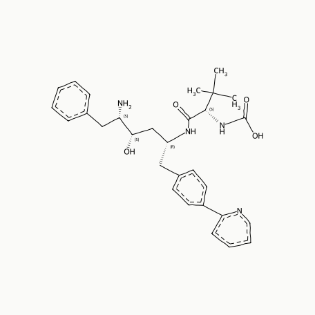 CC(C)(C)[C@H](NC(=O)O)C(=O)N[C@H](Cc1ccc(-c2ccccn2)cc1)C[C@H](O)[C@@H](N)Cc1ccccc1